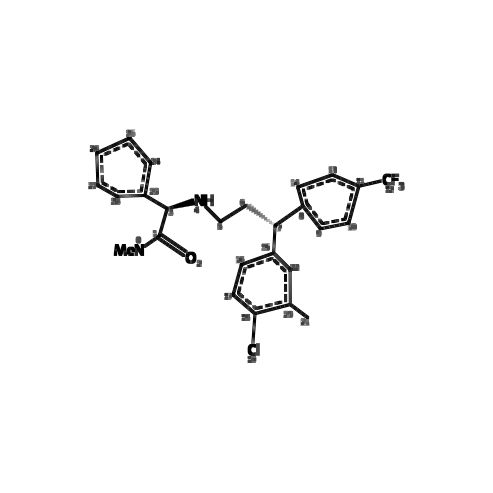 CNC(=O)[C@H](NCC[C@H](c1ccc(C(F)(F)F)cc1)c1ccc(Cl)c(C)c1)c1ccccc1